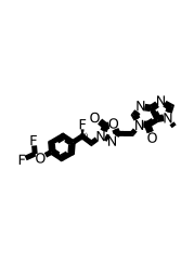 Cn1cnc2ncn(Cc3nn(C[C@H](F)c4ccc(OC(F)F)cc4)c(=O)o3)c(=O)c21